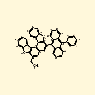 CCc1cc2cc(-c3c4ccccc4c(-c4ccccc4)c4ccccc34)c3oc4ccccc4c3c2c2c1oc1ccccc12